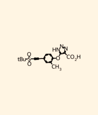 Cc1cc(C#CS(=O)(=O)C(C)(C)C)ccc1Oc1[nH]nnc1C(=O)O